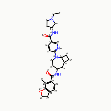 CCN1CC[C@@H](NC(=O)c2ccc(N3CCC(NC(=O)c4ccc5c(c4C)OCC5)CC4CCC43)nc2)C1